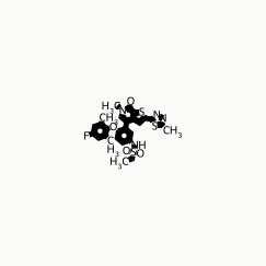 CCS(=O)(=O)Nc1ccc(Oc2c(C)cc(F)cc2C)c(-c2cn(C)c(=O)c3sc(-c4nnc(C)s4)cc23)c1